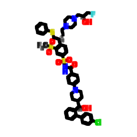 O=C(NS(=O)(=O)c1ccc([C@@H](CCN2CCN(C[C@@H](O)CF)CC2)CSc2ccccc2)c(S(=O)(=O)C(F)(F)F)c1)c1ccc(N2CCC([C@@H](O)c3ccccc3-c3ccc(Cl)cc3)CC2)cc1